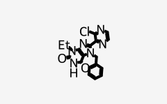 CCn1c(=O)[nH]c(=O)c2c1nc(-c1nccnc1Cl)n2Cc1ccccc1